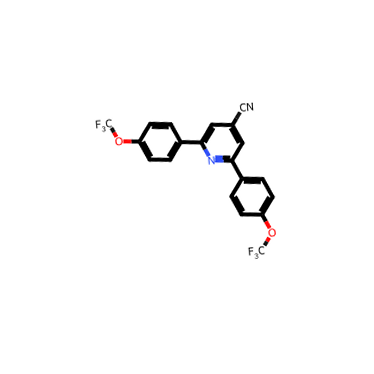 N#Cc1cc(-c2ccc(OC(F)(F)F)cc2)nc(-c2ccc(OC(F)(F)F)cc2)c1